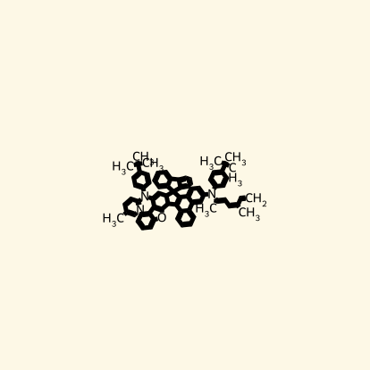 C=C/C(C)=C\C=C(/C)N(c1ccc(C(C)(C)C)cc1)c1ccc2c3c(c4ccccc4c2c1)C1c2oc4ccccc4c2C(N(c2ccc(C(C)(C)C)cc2)c2ccc(C)cn2)=CC1C31c2ccccc2-c2ccccc21